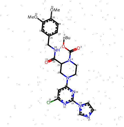 CCCCOC(=O)N1CCN(c2cc(Cl)nc(-n3ccnc3)n2)CC1C(=O)NCc1ccc(OC)c(OC)c1